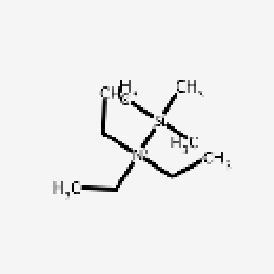 CC[N+](CC)(CC)[Si](C)(C)C